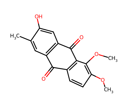 COc1ccc2c(c1OC)C(=O)c1cc(O)c(C)cc1C2=O